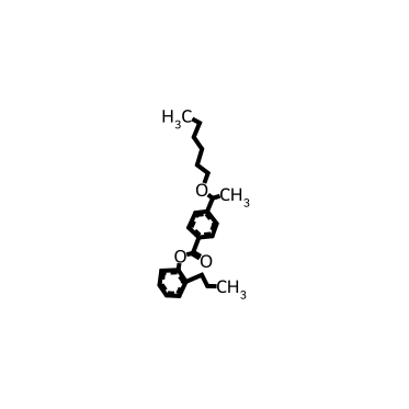 CCCCCCOC(C)c1ccc(C(=O)Oc2ccccc2CCC)cc1